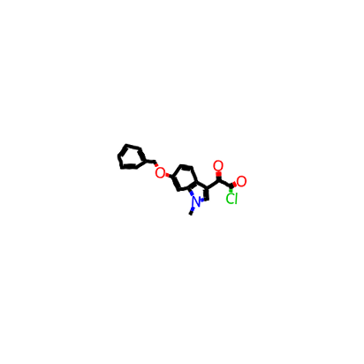 Cn1cc(C(=O)C(=O)Cl)c2ccc(OCc3ccccc3)cc21